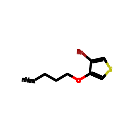 CCCCCCCCCOc1cscc1Br